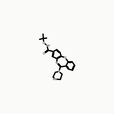 CC(C)(C)ONC(=O)c1ccc2c(c1)N=C(N1CCNCC1)c1ccccc1O2